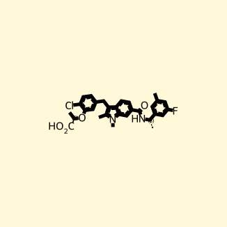 Cc1cc(F)cc([C@H](C)NC(=O)c2ccc3c(Cc4ccc(Cl)c(O[C@@H](C)C(=O)O)c4)c(C)n(C)c3c2)c1